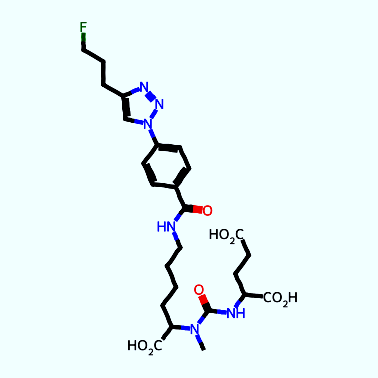 CN(C(=O)NC(CCC(=O)O)C(=O)O)C(CCCCNC(=O)c1ccc(-n2cc(CCCF)nn2)cc1)C(=O)O